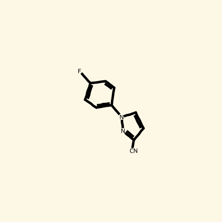 N#Cc1ccn(-c2ccc(F)cc2)n1